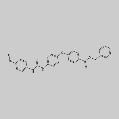 O=C(Nc1ccc(Oc2ccc(C(=O)OCc3ccccc3)cc2)cc1)Nc1ccc(OC(F)(F)F)cc1